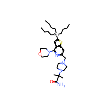 CCC[CH2][Sn]([CH2]CCC)([CH2]CCC)[c]1cc2c(N3CCOCC3)nc(CN3CCN(C(C)(C)C(N)=O)CC3)cc2s1